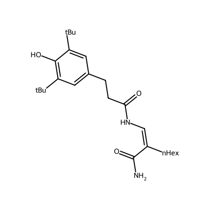 CCCCCCC(=CNC(=O)CCc1cc(C(C)(C)C)c(O)c(C(C)(C)C)c1)C(N)=O